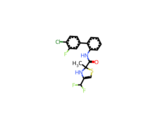 CC1(C(=O)Nc2ccccc2-c2ccc(Cl)c(F)c2)NC(C(F)F)=CS1